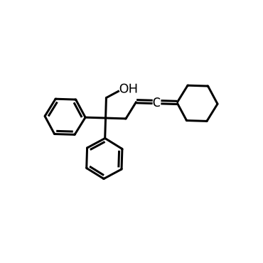 OCC(CC=C=C1CCCCC1)(c1ccccc1)c1ccccc1